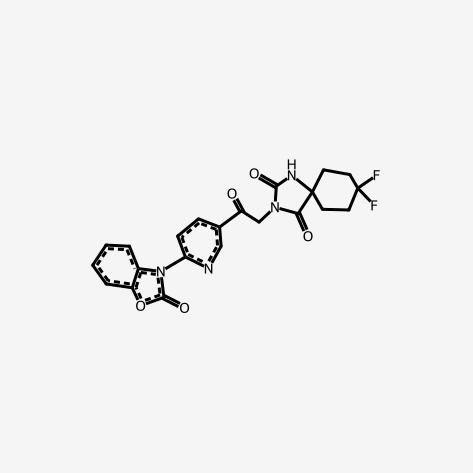 O=C(CN1C(=O)NC2(CCC(F)(F)CC2)C1=O)c1ccc(-n2c(=O)oc3ccccc32)nc1